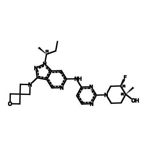 CC[C@@H](C)n1nc(N2CC3(COC3)C2)c2cnc(Nc3ccnc(N4CC[C@](C)(O)[C@H](F)C4)n3)cc21